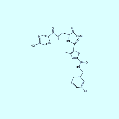 COC(=O)C(CNC(=O)c1cnc(O)cn1)NC(=O)c1sc(C(=O)NCc2cccc(O)c2)cc1C